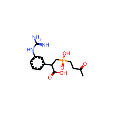 CC(=O)CCP(=O)(O)CC(C(=O)O)c1cccc(NC(=N)N)c1